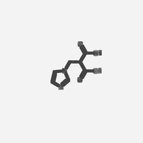 O=C(O)C(Cn1ccnc1)C(=O)O